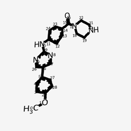 COc1ccc(-c2cnc(Nc3ccc(C(=O)N4CCNCC4)cc3)nc2)cc1